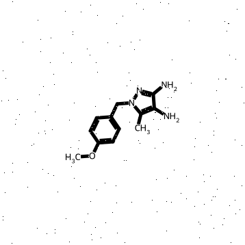 COc1ccc(Cn2nc(N)c(N)c2C)cc1